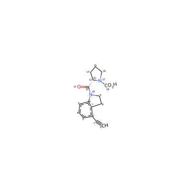 C#Cc1cccc2c1CCN2C(=O)[C@@H]1CCCN1C(=O)O